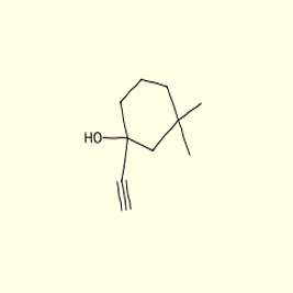 C#CC1(O)CCCC(C)(C)C1